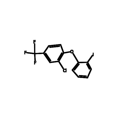 FC(F)(F)c1ccc(Oc2ccccc2I)c(Cl)c1